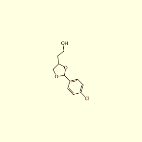 OCCC1COC(c2ccc(Cl)cc2)O1